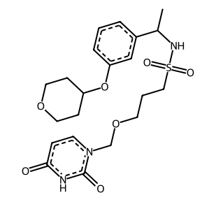 CC(NS(=O)(=O)CCCOCn1ccc(=O)[nH]c1=O)c1cccc(OC2CCOCC2)c1